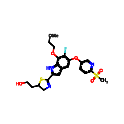 COCCOc1c(F)c(Oc2ccc(S(C)(=O)=O)nc2)cc2cc(C3=NCC(CCO)S3)[nH]c12